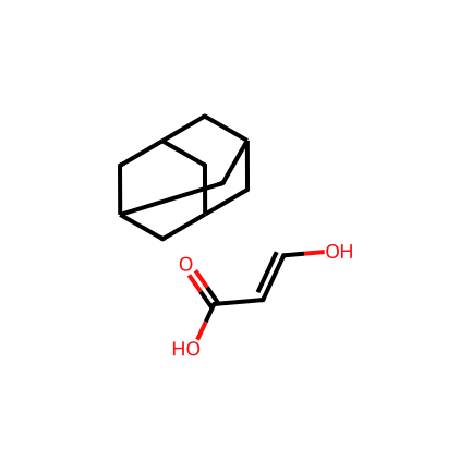 C1C2CC3CC1CC(C2)C3.O=C(O)C=CO